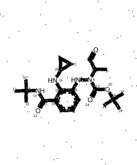 CC(C=O)N(Nc1cccc(C(=O)NC(C)(C)C)c1NC1CC1)C(=O)OC(C)(C)C